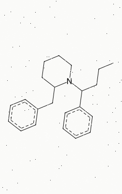 CCCC(c1ccccc1)N1CCCCC1Cc1ccccc1